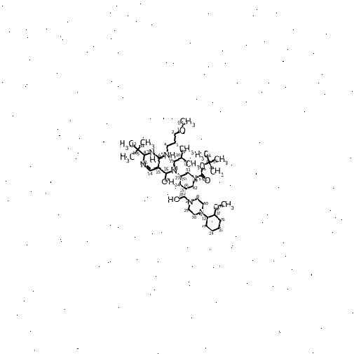 COCCCNC1NC(C(C)(C)C)N=CC1C(O)N(CC(C)C)[C@H]1C[C@@H](C(O)N2CCN(C3CCCCC3OC)CC2)CN(C(=O)OC(C)(C)C)C1